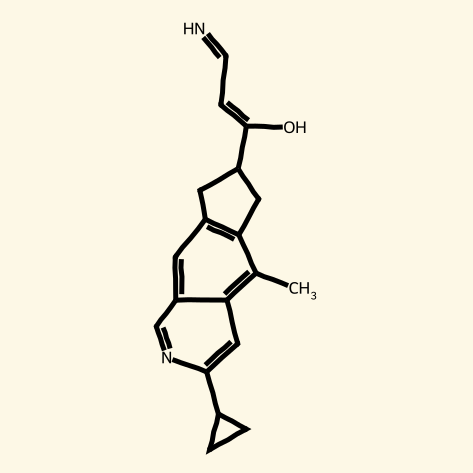 Cc1c2c(cc3cnc(C4CC4)cc13)CC(/C(O)=C/C=N)C2